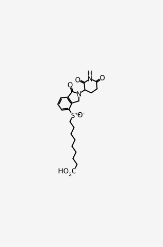 O=C(O)CCCCCCCC[S+]([O-])c1cccc2c1CN(C1CCC(=O)NC1=O)C2=O